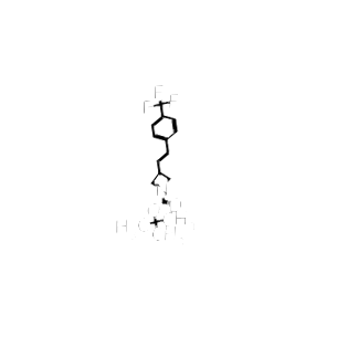 CC(C)(C)OC(=O)N1CC(C=Cc2ccc(C(F)(F)F)cc2)C1